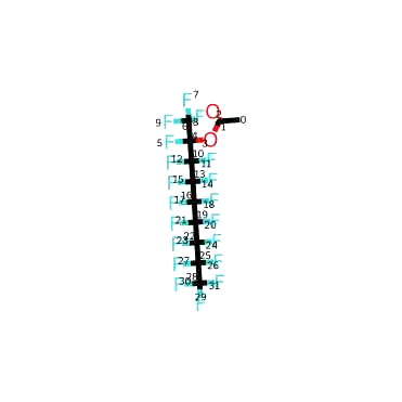 CC(=O)OC(F)(C(F)(F)F)C(F)(F)C(F)(F)C(F)(F)C(F)(F)C(F)(F)C(F)(F)C(F)(F)F